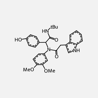 COc1ccc(N(C(=O)Cc2c[nH]c3ccccc23)C(C(=O)NC(C)(C)C)c2ccc(O)cc2)cc1OC